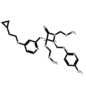 COCO[C@@]1(Cc2cc(OCCC3CC3)ccn2)C(=O)N(COC)[C@H]1COc1ccc(C)cn1